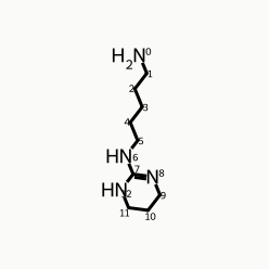 NCCCCCNC1=NCCCN1